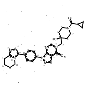 O=C(C1CC1)N1CCC(O)(Cn2cnc3c(cnn3-c3ccc(-c4nnc5n4CCCC5)cc3)c2=O)CC1